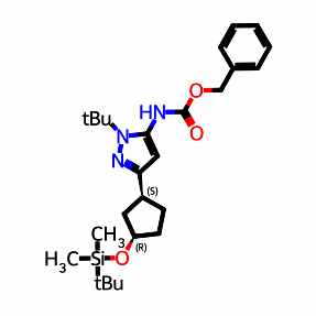 CC(C)(C)n1nc([C@H]2CC[C@@H](O[Si](C)(C)C(C)(C)C)C2)cc1NC(=O)OCc1ccccc1